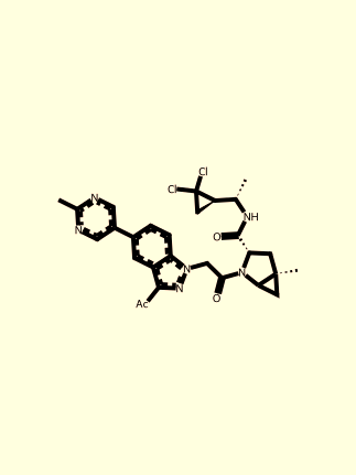 CC(=O)c1nn(CC(=O)N2C3C[C@]3(C)C[C@H]2C(=O)N[C@@H](C)[C@H]2CC2(Cl)Cl)c2ccc(-c3cnc(C)nc3)cc12